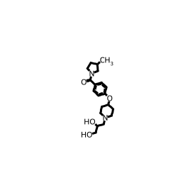 CC1CCN(C(=O)c2ccc(OC3CCN(CC(O)CO)CC3)cc2)C1